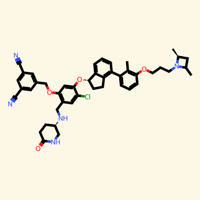 Cc1c(OCCCN2C(C)C[C@@H]2C)cccc1-c1cccc2c1CC[C@@H]2Oc1cc(OCc2cc(C#N)cc(C#N)c2)c(CN[C@H]2CCC(=O)NC2)cc1Cl